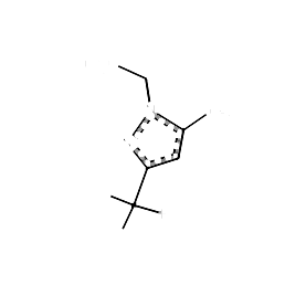 CCOC(=O)Cn1nc(C(F)(F)C(F)(F)F)cc1C(C)(C)C